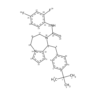 CC(C)(C)c1ccc(CC2c3cccn3CCCN2C(=O)Nc2ccc(F)cc2F)cc1